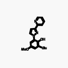 COc1cc(-n2ccc(-c3ccccn3)n2)c(O)c(C(C)(C)C)c1